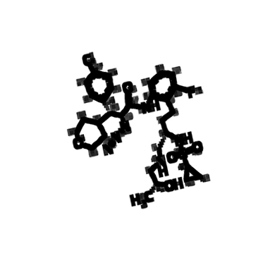 C[C@@H](O)CNC[C@H](CCc1c(F)cccc1NC(=O)[C@@H](N=[N+]=[N-])[C@@H](c1ccc(Cl)cc1)C1CCOCC1)NS(=O)(=O)C1CC1